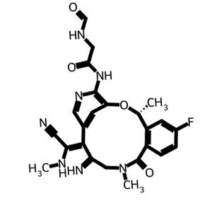 CN/C(C#N)=C1\C(=N)CN(C)C(=O)c2ccc(F)cc2[C@@H](C)Oc2cc1cnc2NC(=O)CNC=O